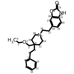 CCOCC1(CCc2ccccc2)CCN(CCc2ccc3[nH]c(=O)oc3c2)CC1